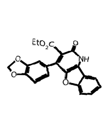 CCOC(=O)c1c(-c2ccc3c(c2)OCO3)c2oc3ccccc3c2[nH]c1=O